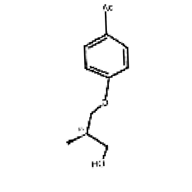 CC(=O)c1ccc(OC[C@H](C)CO)cc1